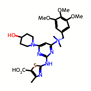 COc1cc(C[N+](C)(C)c2cc(N3CCC(O)CC3)nc(Nc3nc(C)c(C(=O)O)s3)n2)cc(OC)c1OC